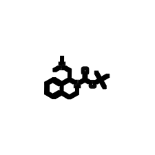 CN(C)CC1c2ccccc2CCN1C(=O)OC(C)(C)C